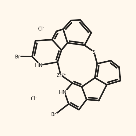 Brc1cc2cc3cccc4c3c-2[c]([nH]1)[Zr+2][c]1[nH]c(Br)cc2cc3cccc(c3c1-2)S4.[Cl-].[Cl-]